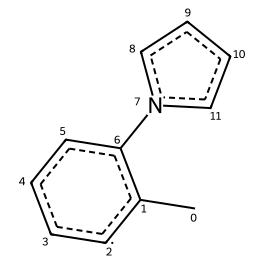 Cc1[c]cccc1-n1cccc1